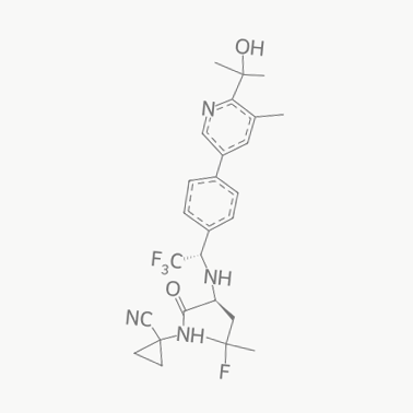 Cc1cc(-c2ccc([C@H](N[C@@H](CC(C)(C)F)C(=O)NC3(C#N)CC3)C(F)(F)F)cc2)cnc1C(C)(C)O